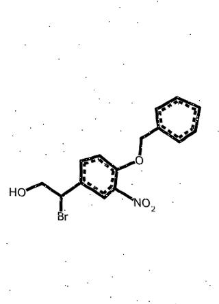 O=[N+]([O-])c1cc(C(Br)CO)ccc1OCc1ccccc1